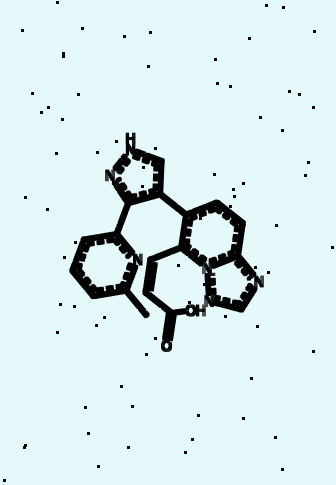 Cc1cccc(-c2n[nH]cc2-c2ccc3ncnn3c2C=CC(=O)O)n1